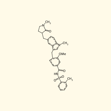 COc1cc(C(=O)NS(=O)(=O)c2ccccc2C)ccc1Cc1cn(C)c2ccc(CC3CCN(C)C3=O)cc12